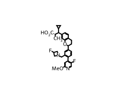 COc1cc(-c2ccc(C3CCc4ccc(C(C5CC5)[C@H](C)C(=O)O)cc4O3)cc2CN2CC(F)C2)c(F)cn1